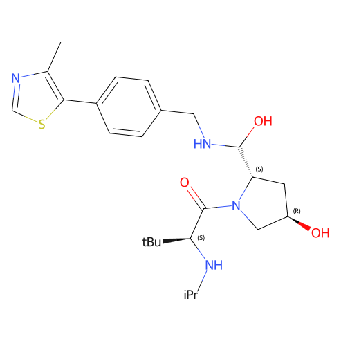 Cc1ncsc1-c1ccc(CNC(O)[C@@H]2C[C@@H](O)CN2C(=O)[C@@H](NC(C)C)C(C)(C)C)cc1